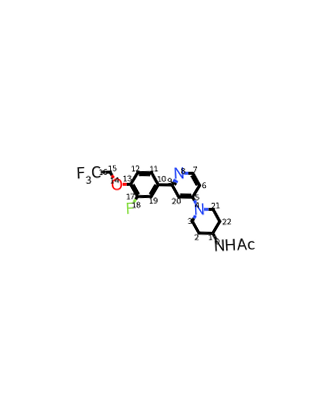 CC(=O)NC1CCN(c2ccnc(-c3ccc(OCC(F)(F)F)c(F)c3)c2)CC1